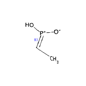 C/C=[P+](\[O-])O